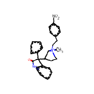 C[N+]1(CCc2ccc([N+](=O)[O-])cc2)CCC(C(C(N)=O)(c2ccccc2)c2ccccc2)C1